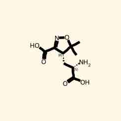 CC1(C)ON=C(C(=O)O)[C@H]1C[C@H](N)C(=O)O